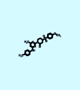 COc1ccc(S(=O)(=O)N2CCN(c3nc(C)cc(Nc4ccc(C)cc4)n3)C(=O)C2)cc1